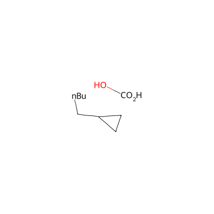 CCCCCC1CC1.O=C(O)O